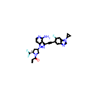 C=CC(=O)N1CC(n2nc(C#Cc3cc4ncn(C5CC5)c4cc3F)c3c(N)nccc32)C[C@@H]1C(F)F